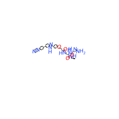 C#CCNC(=O)C(CCNC(=O)CCCOc1ccc(-c2nc3ccc(-c4ccc(N5CCN(C)CC5)cc4)cc3[nH]2)cc1)NC(=O)CCC(C)(N)N